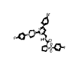 O=C(NCc1cc(-c2ccc(Br)cc2)nc(N2CCN(c3ccc(F)cc3)CC2)n1)[C@@H]1CCCN1S(=O)(=O)c1ccc(F)cc1